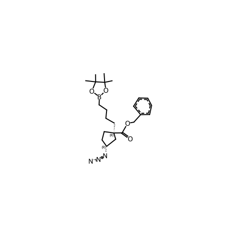 CC1(C)OB(CCCC[C@@]2(C(=O)OCc3ccccc3)CC[C@@H](N=[N+]=[N-])C2)OC1(C)C